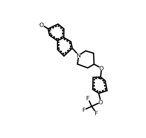 [O]c1ccc2cc(N3CCC(Oc4ccc(OC(F)(F)F)cc4)CC3)ccc2c1